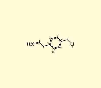 C=CCc1ccc(CCl)cn1